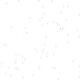 CCOC(=O)[C@H](CCSC)NC(C)=O